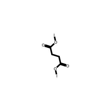 O=C(CCC(=O)OI)OI